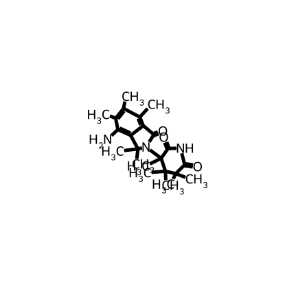 Cc1c(C)c(N)c2c(c1C)C(=O)N(C1(C)C(=O)NC(=O)C(C)(C)C1(C)C)C2(C)C